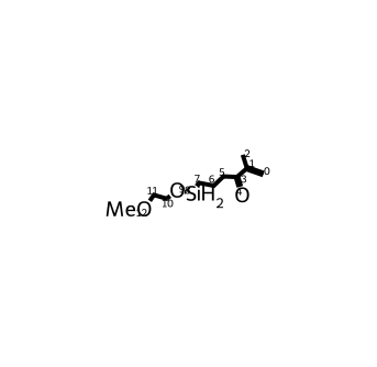 C=C(C)C(=O)CCC[SiH2]OCCOC